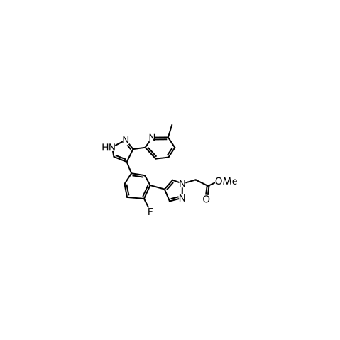 COC(=O)Cn1cc(-c2cc(-c3c[nH]nc3-c3cccc(C)n3)ccc2F)cn1